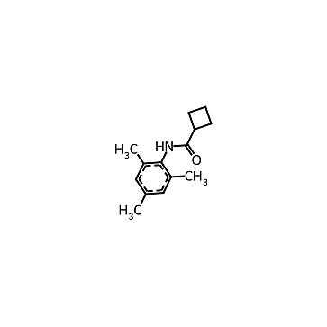 Cc1cc(C)c(NC(=O)C2CCC2)c(C)c1